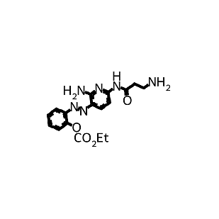 CCOC(=O)Oc1ccccc1/N=N/c1ccc(NC(=O)CCN)nc1N